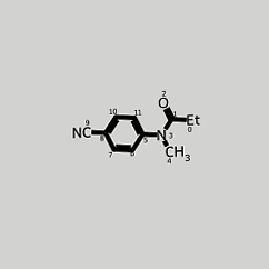 CCC(=O)N(C)c1ccc(C#N)cc1